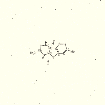 C[C@@H]1CN[C@H]2c3ccc(Br)cc3C[C@H]2O1